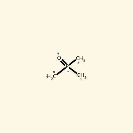 [CH2]P(C)(C)=O